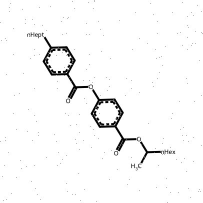 CCCCCCCc1ccc(C(=O)Oc2ccc(C(=O)OC(C)CCCCCC)cc2)cc1